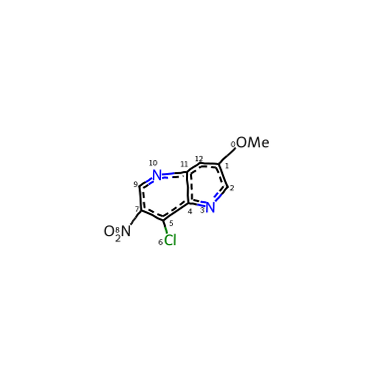 COc1cnc2c(Cl)c([N+](=O)[O-])cnc2c1